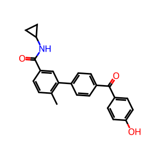 Cc1ccc(C(=O)NC2CC2)cc1-c1ccc(C(=O)c2ccc(O)cc2)cc1